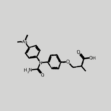 CC(COc1ccc(N(C(N)=O)c2ccc([As](C)C)cc2)cc1)C(=O)O